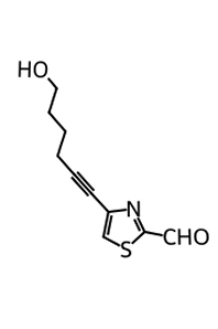 O=Cc1nc(C#CCCCCO)cs1